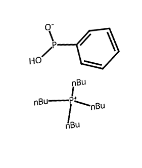 CCCC[P+](CCCC)(CCCC)CCCC.[O-]P(O)c1ccccc1